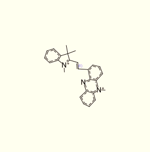 C[N+]1=C(/C=C/c2cccc3c2nc2ccccc2[n+]3C)C(C)(C)c2ccccc21